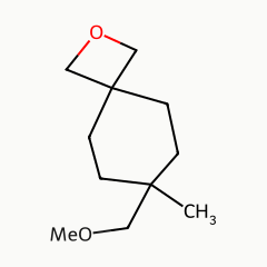 COCC1(C)CCC2(CC1)COC2